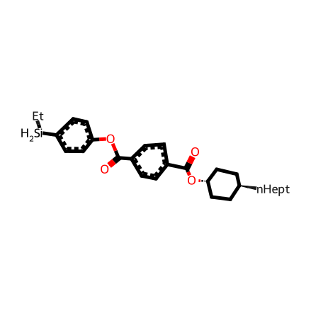 CCCCCCC[C@H]1CC[C@H](OC(=O)c2ccc(C(=O)Oc3ccc([SiH2]CC)cc3)cc2)CC1